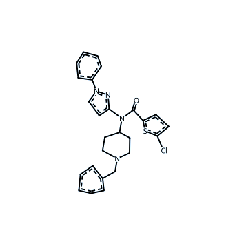 O=C(c1ccc(Cl)s1)N(c1ccn(-c2ccccc2)n1)C1CCN(Cc2ccccc2)CC1